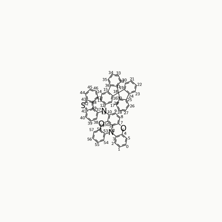 c1ccc2c(c1)Oc1ccc(N(c3ccc4c(c3)C3(c5ccccc5-c5ccccc53)c3ccccc3-4)c3cccc4sc5ccccc5c34)c3c1N2c1ccccc1O3